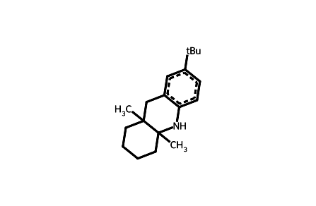 CC(C)(C)c1ccc2c(c1)CC1(C)CCCCC1(C)N2